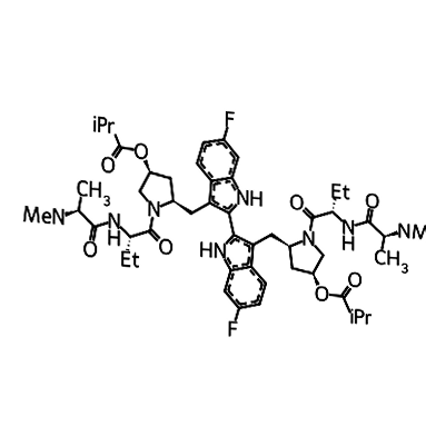 CC[C@H](NC(=O)[C@H](C)NC)C(=O)N1C[C@@H](OC(=O)C(C)C)C[C@H]1Cc1c(-c2[nH]c3cc(F)ccc3c2C[C@@H]2C[C@H](OC(=O)C(C)C)CN2C(=O)[C@H](CC)NC(=O)[C@H](C)NC)[nH]c2cc(F)ccc12